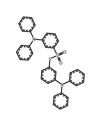 O=S(=O)(Sc1cccc(N(c2ccccc2)c2ccccc2)c1)c1cccc(N(c2ccccc2)c2ccccc2)c1